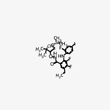 C=Cc1cc(C(=O)NOC(CO[SiH](C)C)C(C)(C)C)c(Nc2ccc(I)cc2F)c(F)c1F